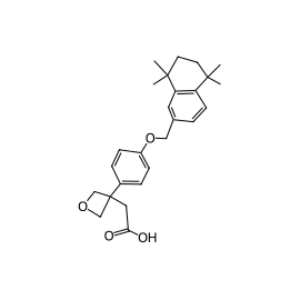 CC1(C)CCC(C)(C)c2cc(COc3ccc(C4(CC(=O)O)COC4)cc3)ccc21